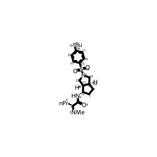 CCC[C@H](NC)C(=O)N[C@H]1CC[C@@H]2CN(S(=O)(=O)c3ccc(C(C)(C)C)cc3)C[C@@H]21